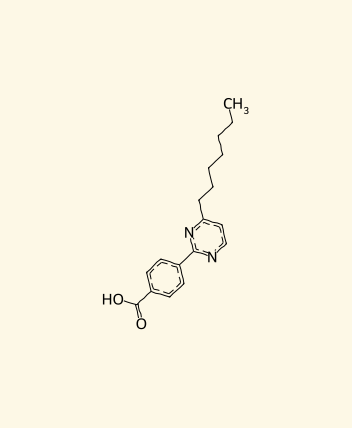 CCCCCCCc1ccnc(-c2ccc(C(=O)O)cc2)n1